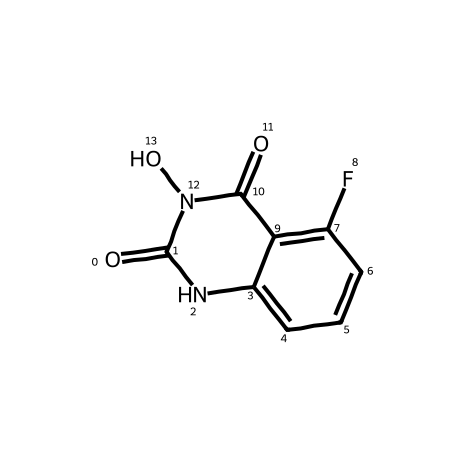 O=c1[nH]c2cccc(F)c2c(=O)n1O